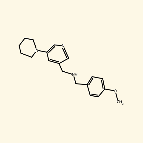 COc1ccc(CNCc2cncc(N3CCCCC3)c2)cc1